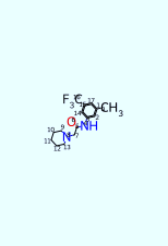 Cc1cc(NC(=O)CN2CCCCC2)cc(C(F)(F)F)c1